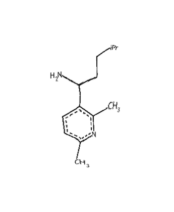 Cc1ccc(C(N)CCC(C)C)c(C)n1